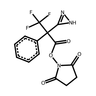 O=C1CCC(=O)N1OC(=O)C(C1=NN1)(c1ccccc1)C(F)(F)F